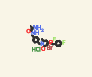 Cc1cc(OCc2ccc(F)cc2F)c(Br)c(=O)n1Cc1ccc(CNC(=O)[C@@H](C)N)cc1.Cl